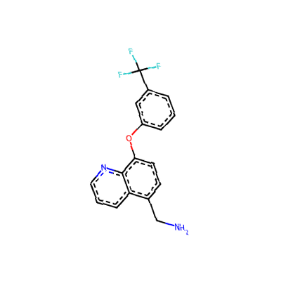 NCc1ccc(Oc2cccc(C(F)(F)F)c2)c2ncccc12